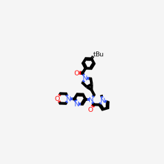 Cn1cccc1C(=O)N(CC1C2CN(C(=O)c3ccc(C(C)(C)C)cc3)CC21)c1ccc(N2CCOCC2)nc1